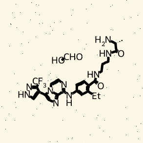 CCc1cc(Nc2nccn3c(-c4c[nH]nc4C(F)(F)F)cnc23)ccc1C(=O)NCCCNC(=O)[C@@H](C)N.O=CO